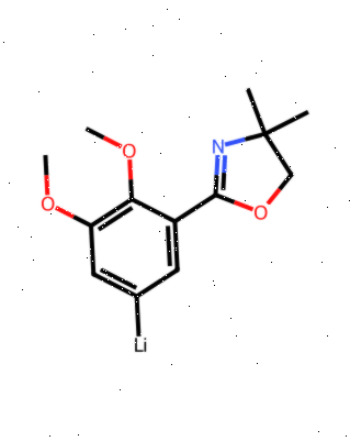 [Li][c]1cc(OC)c(OC)c(C2=NC(C)(C)CO2)c1